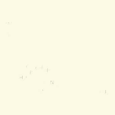 CCCCCCCCC=CCCCCCCCCCC(=O)O.NC(=O)C(O)CP(=O)(O)O